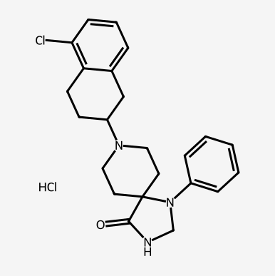 Cl.O=C1NCN(c2ccccc2)C12CCN(C1CCc3c(Cl)cccc3C1)CC2